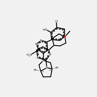 CN1CCC(c2ccnc(N3[C@@H]4CC[C@H]3CN(c3cc(-c5cccc(Cl)c5O)nnc3N)C4)n2)CC1